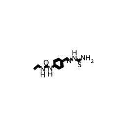 CCNC(=O)Nc1ccc(/C=N/NC(N)=S)cc1